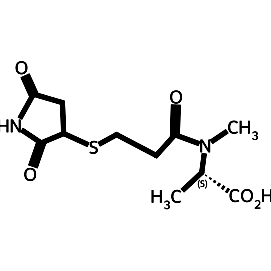 C[C@@H](C(=O)O)N(C)C(=O)CCSC1CC(=O)NC1=O